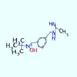 CC(=N)NCc1cccc(/C=[N+](\O)C(C)(C)C)c1